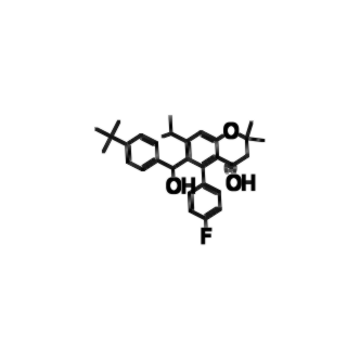 CC(C)c1cc2c(c(-c3ccc(F)cc3)c1C(O)c1ccc(C(C)(C)C)cc1)[C@@H](O)CC(C)(C)O2